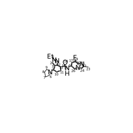 CCn1cc2c(N3CCCC3)ccc(C(=O)Nc3cc(F)c4nc(C)cn4c3)c2n1